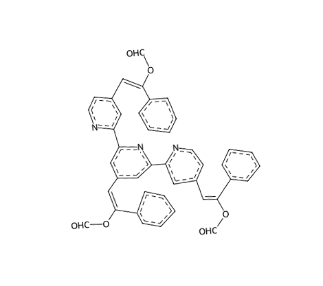 O=CO/C(=C/c1ccnc(-c2cc(/C=C(/OC=O)c3ccccc3)cc(-c3cc(/C=C(/OC=O)c4ccccc4)ccn3)n2)c1)c1ccccc1